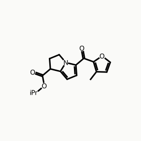 Cc1ccoc1C(=O)c1ccc2n1CCC2C(=O)OC(C)C